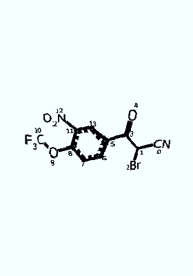 N#CC(Br)C(=O)c1ccc(OC(F)(F)F)c([N+](=O)[O-])c1